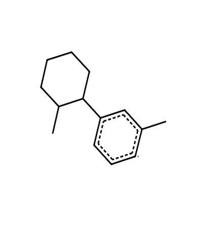 Cc1[c]ccc(C2CCCCC2C)c1